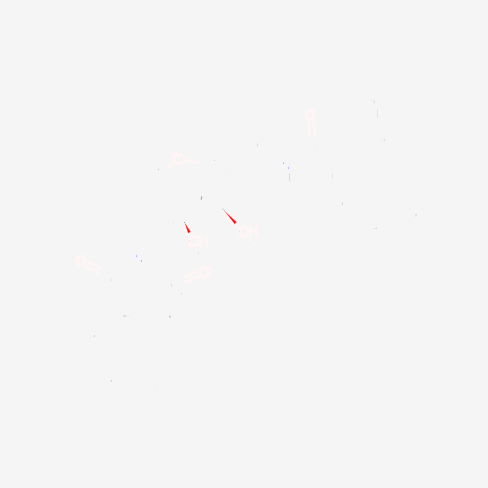 O=C(NC[C@H]1OC[C@@](O)(CN2C(=O)c3ccccc3C2=O)[C@@H]1O)c1ccccc1Cl